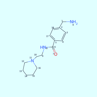 NCc1ccc(C(=O)NCCN2CCCCC2)cc1